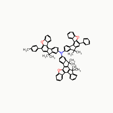 Cc1ccc(-c2cc3c(c4c2oc2ccccc24)-c2ccc(N(c4ccc5c(c4)C(C)(C)c4cc(-c6ccccc6)c6oc7ccccc7c6c4-5)c4ccc5c(c4)C(C)(C)c4c6c(c7c(oc8ccccc87)c4-5)-c4ccccc4C6(C)C)cc2C3(C)C)cc1